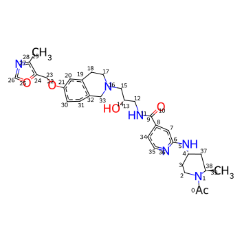 CC(=O)N1CC[C@H](Nc2cc(C(=O)NC[C@H](O)CN3CCc4cc(OCc5ocnc5C)ccc4C3)ccn2)C[C@H]1C